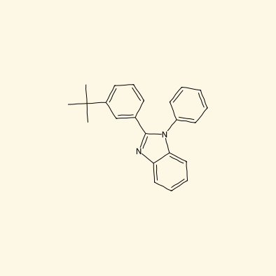 CC(C)(C)c1cccc(-c2nc3ccccc3n2-c2ccccc2)c1